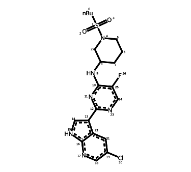 CCCCS(=O)(=O)N1CCCC(Nc2nc(-c3c[nH]c4ncc(Cl)cc34)ncc2F)C1